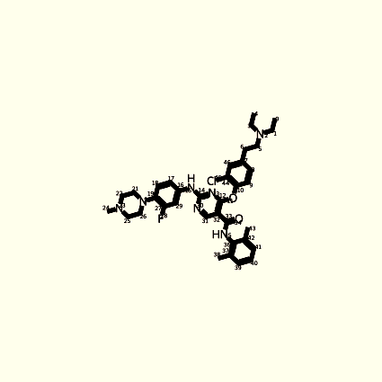 CCN(CC)CCc1ccc(Oc2nc(Nc3ccc(N4CCN(C)CC4)c(F)c3)ncc2C(=O)Nc2c(C)cccc2C)c(Cl)c1